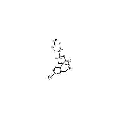 Cc1ccc2c(c1)CNC(=O)C21CCN(C2CCC(C(C)C)CC2)CC1